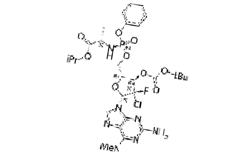 CNc1nc(N)nc2c1ncn2[C@@H]1O[C@H](CO[P@](=O)(N[C@@H](C)C(=O)OC(C)C)Oc2ccccc2)[C@@H](OC(=O)OC(C)(C)C)[C@]1(F)Cl